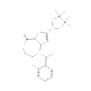 CC(c1ccccc1Cl)N1CCNC(=O)C2SC(B3OC(C)(C)C(C)(C)O3)=CC21